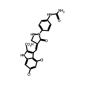 NC(=O)Nc1ccc(N2NC/C(=C\c3c(C(=O)O)[nH]c4cc(Cl)cc(Cl)c34)C2=O)cc1